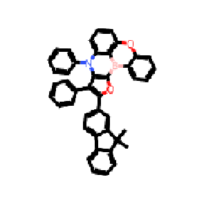 CC1(C)c2ccccc2-c2ccc(-c3oc4c(c3-c3ccccc3)N(c3ccccc3)c3cccc5c3B4c3ccccc3O5)cc21